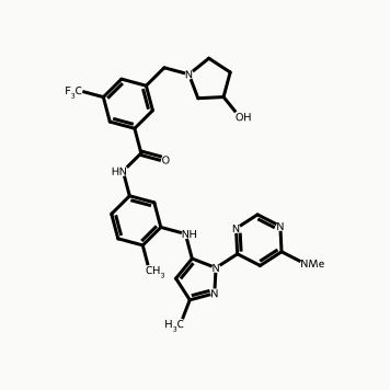 CNc1cc(-n2nc(C)cc2Nc2cc(NC(=O)c3cc(CN4CCC(O)C4)cc(C(F)(F)F)c3)ccc2C)ncn1